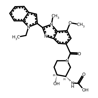 CCn1c(-c2nc3cc(C(=O)N4CC[C@@H](O)[C@@H](NC(=O)O)C4)cc(OC)c3n2C)cc2ccccc21